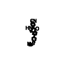 CC1(C)c2cc(C3CCN(Sn4ccnc4)CC3)ccc2C(=O)c2c1[nH]c1cc(C#N)ccc21